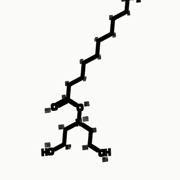 O=C(O)CCCCCCCCC(=O)ON(CCO)CCO